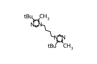 Cc1ncn(CCCCn2cnc(C(C)(C)C)c2C)c1C(C)(C)C